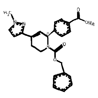 COC(=O)c1ccc([C@@H]2C=C(c3ccn(C)n3)CCN2C(=O)OCc2ccccc2)cc1